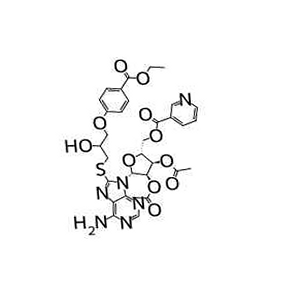 CCOC(=O)c1ccc(OCC(O)CSc2nc3c(N)ncnc3n2[C@@H]2O[C@H](COC(=O)c3cccnc3)[C@@H](OC(C)=O)[C@H]2OC(C)=O)cc1